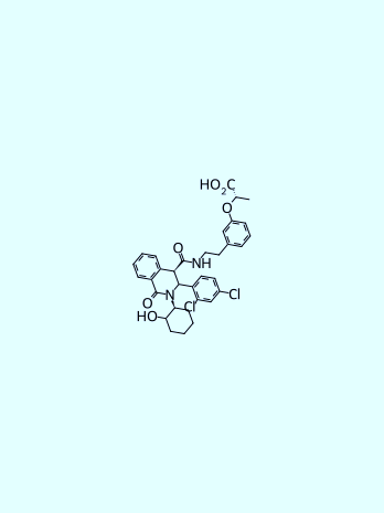 C[C@H](Oc1cccc(CCNC(=O)[C@@H]2c3ccccc3C(=O)N([C@H]3CCCCC3O)C2c2ccc(Cl)cc2Cl)c1)C(=O)O